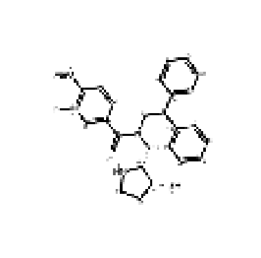 COc1ccc(C(=O)N(CC(c2ccccc2)c2ccccc2)C[C@H]2NCC[C@H]2S)c[n+]1[O-]